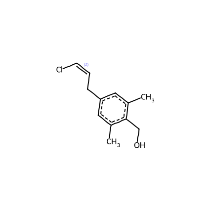 Cc1cc(C/C=C\Cl)cc(C)c1CO